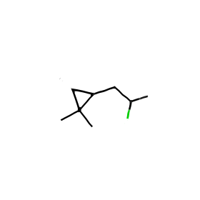 CC1(C)C(CC(Cl)C(F)(F)F)[C@H]1C(=O)O